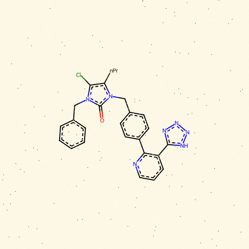 CCCc1c(Cl)n(Cc2ccccc2)c(=O)n1Cc1ccc(-c2ncccc2-c2nnn[nH]2)cc1